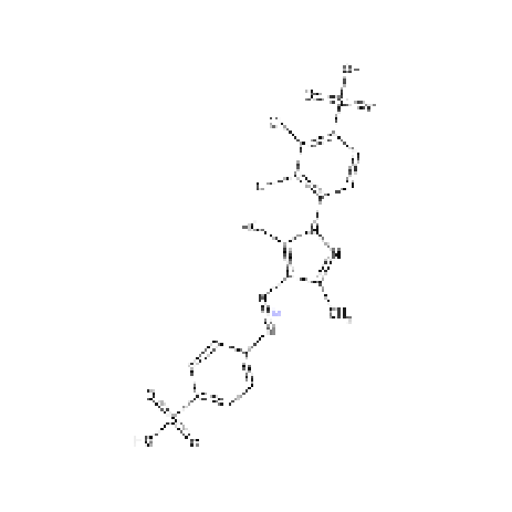 Cc1nn(-c2ccc(S(=O)(=O)O)c(Cl)c2Cl)c(O)c1/N=N/c1ccc(S(=O)(=O)O)cc1